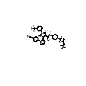 Cn1c(-c2ccnn2-c2ccc(C#N)cc2)c(C(=O)N[C@H]2CC[C@H](c3ncc(C[N+](C)(C)C)o3)CC2)c(=O)n1-c1cccc(C(F)(F)F)c1